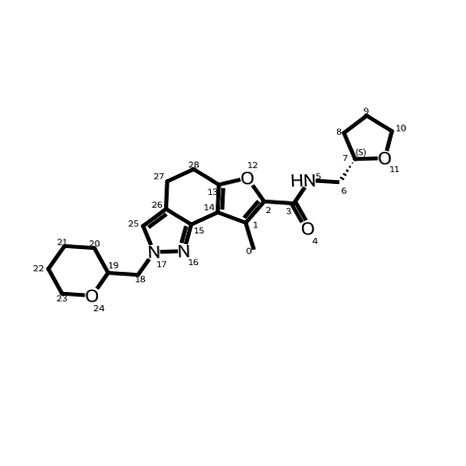 Cc1c(C(=O)NC[C@@H]2CCCO2)oc2c1-c1nn(CC3CCCCO3)cc1CC2